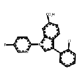 O=C(O)c1ccc2c(-c3ccccc3Cl)cn(-c3ccc(F)cn3)c2c1